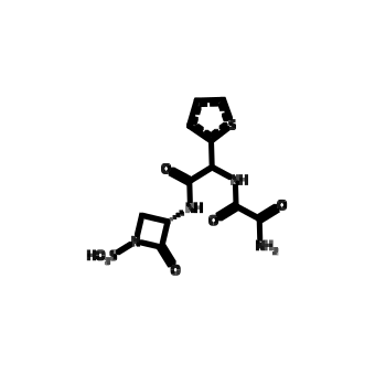 NC(=O)C(=O)NC(C(=O)N[C@H]1CN(S(=O)(=O)O)C1=O)c1cccs1